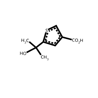 CC(C)(O)c1cc(C(=O)O)cs1